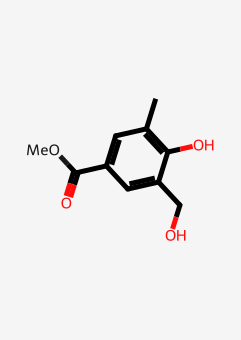 COC(=O)c1cc(C)c(O)c(CO)c1